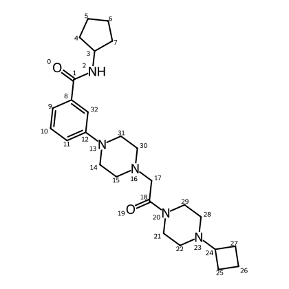 O=C(NC1CCCC1)c1cccc(N2CCN(CC(=O)N3CCN(C4CCC4)CC3)CC2)c1